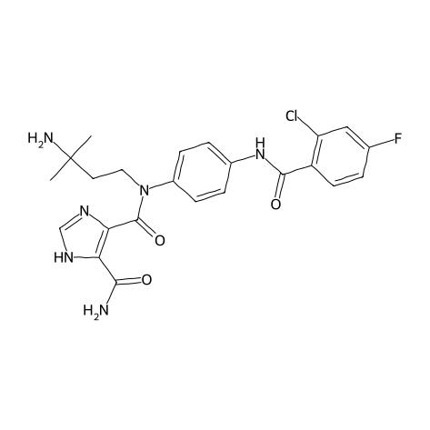 CC(C)(N)CCN(C(=O)c1nc[nH]c1C(N)=O)c1ccc(NC(=O)c2ccc(F)cc2Cl)cc1